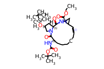 CCOC(=O)[C@@]12CC1/C=C\CCCCC[C@H](NC(=O)OC(C)(C)C)C(=O)N1C[C@H](O[Si](C)(C)C(C)(C)C)C[C@H]1C(=O)N2